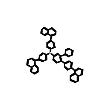 c1ccc(-c2cc(N(c3ccc(-c4cccc5ccccc45)cc3)c3ccc(-c4cccc5ccccc45)cc3)ccc2-c2ccc(-c3cccc4ccccc34)cc2)cc1